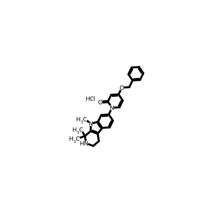 Cl.Cn1c2c(c3ccc(-n4ccc(OCc5ccccc5)cc4=O)cc31)CCNC2(C)C